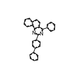 c1ccc(-c2ccc(-c3nc(-c4ccccc4)c4ccc5ccccc5c4n3)cc2)cc1